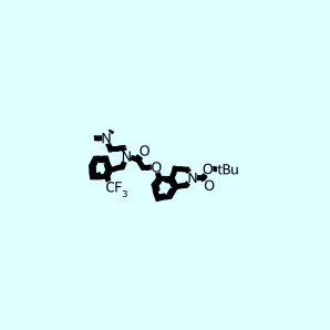 CN(C)CCN(Cc1ccccc1C(F)(F)F)C(=O)COc1cccc2c1CCN(C(=O)OC(C)(C)C)C2